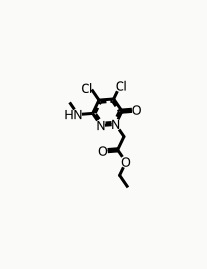 CCOC(=O)Cn1nc(NC)c(Cl)c(Cl)c1=O